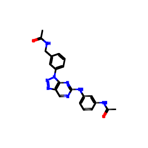 CC(=O)NCc1cccc(-n2nnc3cnc(Nc4cccc(NC(C)=O)c4)nc32)c1